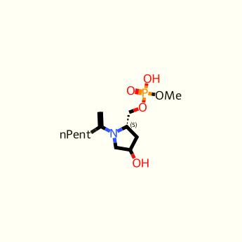 C=C(CCCCC)N1CC(O)C[C@H]1COP(=O)(O)OC